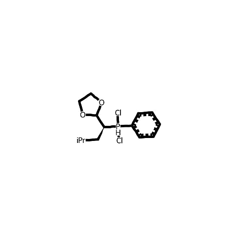 CC(C)C[C@@H](C1OCCO1)[PH](Cl)(Cl)c1ccccc1